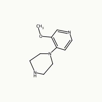 COc1cnccc1N1CCNCC1